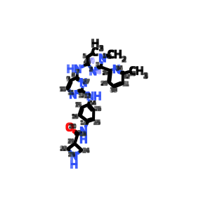 C=N/C(=N\C(=C/C)Nc1ccnc(Nc2ccc(NC(=O)C3CNC3)cc2)n1)c1cccc(C)n1